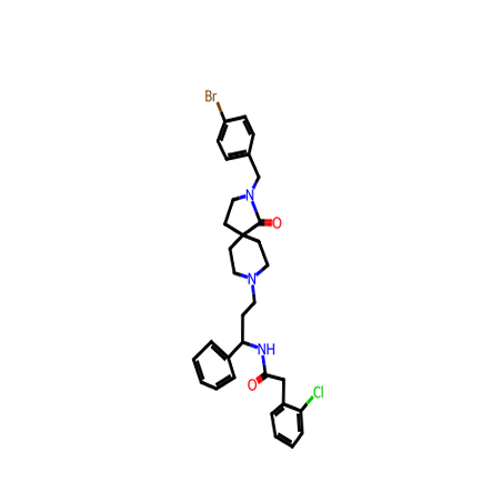 O=C(Cc1ccccc1Cl)NC(CCN1CCC2(CC1)CCN(Cc1ccc(Br)cc1)C2=O)c1ccccc1